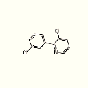 Clc1[c]ccc(-c2ncccc2Cl)c1